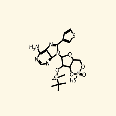 CC(C)(C)[Si](C)(C)OC1C2OP(=O)(S)OCC2OC1n1c(-c2ccsc2)nc2c(N)ncnc21